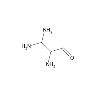 NC(N)C(N)C=O